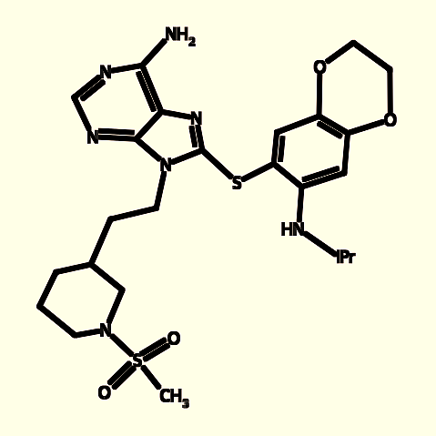 CC(C)Nc1cc2c(cc1Sc1nc3c(N)ncnc3n1CCC1CCCN(S(C)(=O)=O)C1)OCCO2